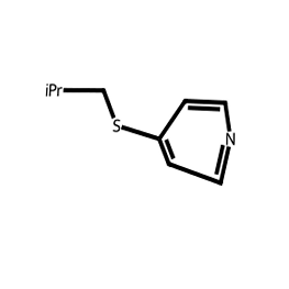 CC(C)CSc1ccncc1